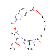 COC(=O)C1C[C@@H]2CN1C(=O)[C@H](C(C)(C)C)NC(=O)OCCCCCCOC(=O)c1ccc3c(c1)CN(C3)C(=O)O2